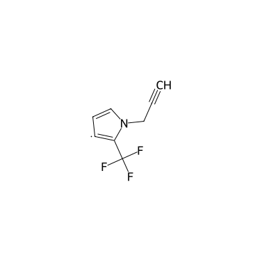 C#CCn1cc[c]c1C(F)(F)F